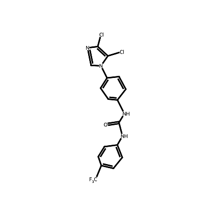 O=C(Nc1ccc(-n2cnc(Cl)c2Cl)cc1)Nc1ccc(C(F)(F)F)cc1